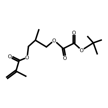 C=C(C)C(=O)OCC(C)COC(=O)C(=O)OC(C)(C)C